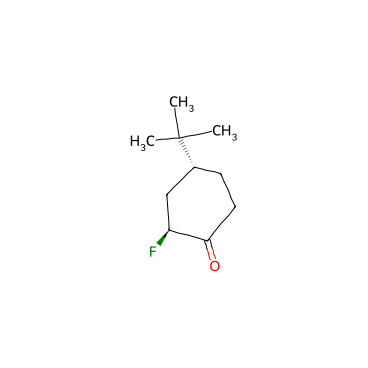 CC(C)(C)[C@@H]1CCC(=O)[C@@H](F)C1